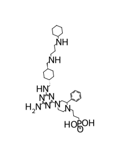 Nc1nc(NC[C@H]2CC[C@H](CNCCCNC3CCCCC3)CC2)nc(N2CCN(CCCP(=O)(O)O)C(c3ccccc3)C2)n1